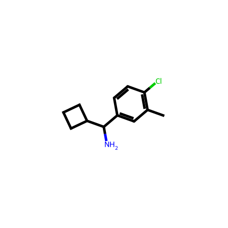 Cc1cc(C(N)C2CCC2)ccc1Cl